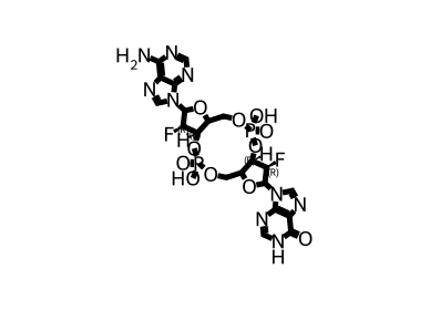 Nc1ncnc2c1ncn2C1OC2COP(=O)(O)O[C@@H]3C(COP(=O)(O)O[C@H]2[C@H]1F)OC(n1cnc2c(=O)[nH]cnc21)[C@@H]3F